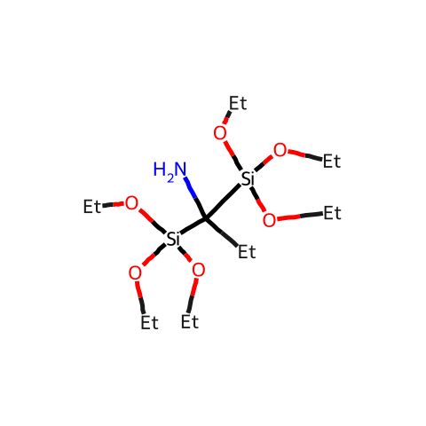 CCO[Si](OCC)(OCC)C(N)(CC)[Si](OCC)(OCC)OCC